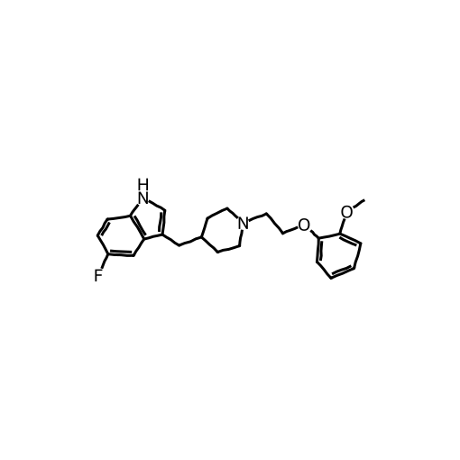 COc1ccccc1OCCN1CCC(Cc2c[nH]c3ccc(F)cc23)CC1